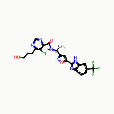 C[C@H](NC(=O)c1ncnc(CCCO)c1Cl)c1cc(-c2nc3ccc(C(F)(F)F)cc3[nH]2)on1